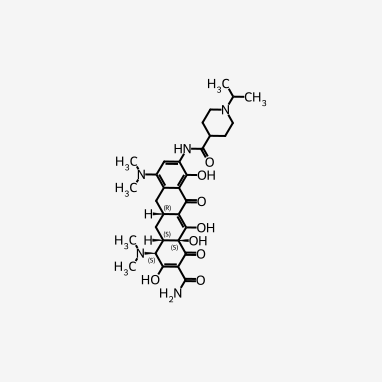 CC(C)N1CCC(C(=O)Nc2cc(N(C)C)c3c(c2O)C(=O)C2=C(O)[C@]4(O)C(=O)C(C(N)=O)=C(O)[C@@H](N(C)C)[C@@H]4C[C@@H]2C3)CC1